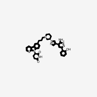 Nc1nnc(-c2ccccc2O)cc1-c1cnn([C@H]2CCCN(CCCc3ccc4c(c3)c3cccnc3n4C3CCC(=O)NC3=O)C2)c1